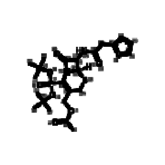 CC(=O)OCC1=C(P(=O)(OC(C)(C)C)OC(C)(C)C)N2C(=O)[C@@H](NC(=O)Cc3cccs3)[C@H]2SC1